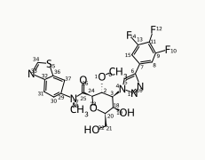 CO[C@@H]1[C@@H](n2cc(-c3cc(F)c(F)c(F)c3)nn2)[C@@H](O)[C@@H](CO)O[C@H]1C(=O)N(C)c1ccc2ncsc2c1